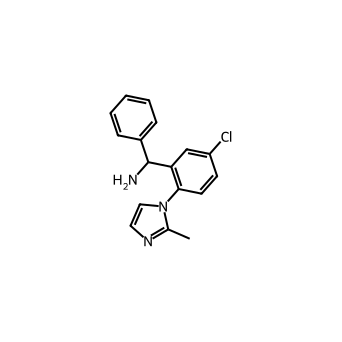 Cc1nccn1-c1ccc(Cl)cc1C(N)c1ccccc1